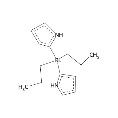 CC[CH2][Ru]([CH2]CC)([c]1ccc[nH]1)[c]1ccc[nH]1